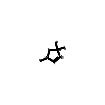 CN1C=NC(C)(C)C1